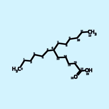 CCCCCCC(CCCCCC)CCCCC(=O)O